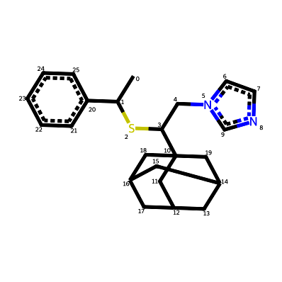 CC(SC(Cn1ccnc1)C12CC3CC(CC(C3)C1)C2)c1ccccc1